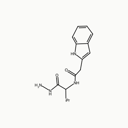 CC(C)C(NC(=O)Cc1cc2ccccc2[nH]1)C(=O)NN